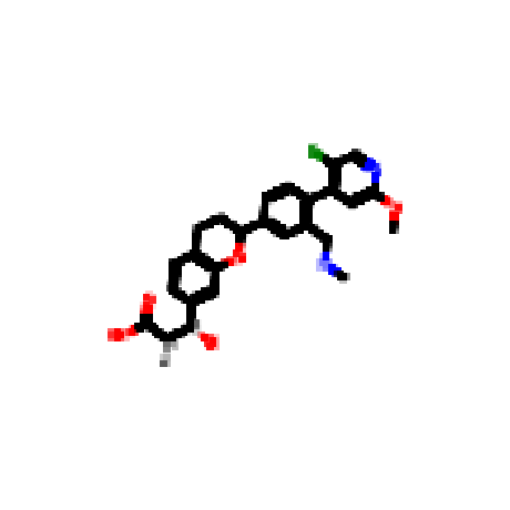 CNCc1cc(C2CCc3ccc([C@H](O)[C@H](C)C(=O)O)cc3O2)ccc1-c1cc(OC)ncc1F